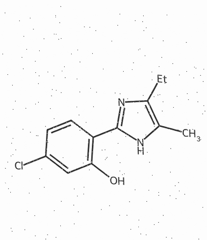 CCc1nc(-c2ccc(Cl)cc2O)[nH]c1C